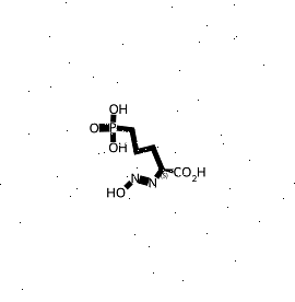 O=C(O)[C@H](CCCP(=O)(O)O)N=NO